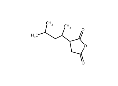 CC(C)CC(C)C1CC(=O)OC1=O